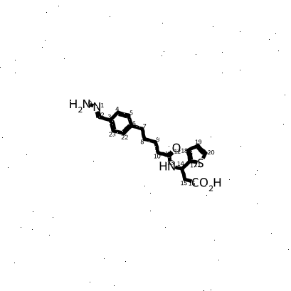 NN=Cc1ccc(CCCCC(=O)NC(CC(=O)O)c2cccs2)cc1